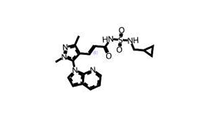 Cc1nn(C)c(-n2ccc3cccnc32)c1/C=C/C(=O)NS(=O)(=O)NCC1CC1